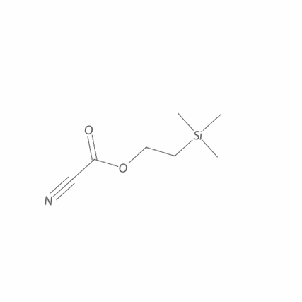 C[Si](C)(C)CCOC(=O)C#N